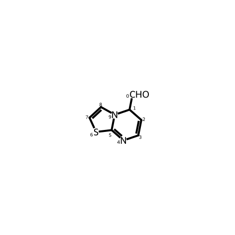 O=CC1C=CN=C2SC=CN21